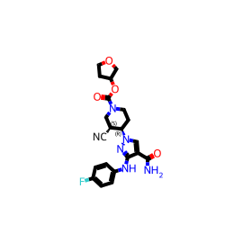 N#C[C@H]1CN(C(=O)OC2CCOC2)CC[C@H]1n1cc(C(N)=O)c(Nc2ccc(F)cc2)n1